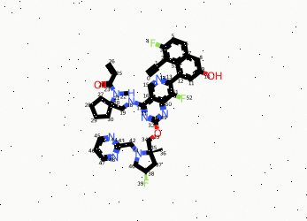 C#Cc1c(F)ccc2cc(O)cc(-c3ncc4c(NCC5(N(C)C(=O)C=C)CCCC5)nc(OC[C@]5(C)C[C@@H](F)CN5Cc5ncccn5)nc4c3F)c12